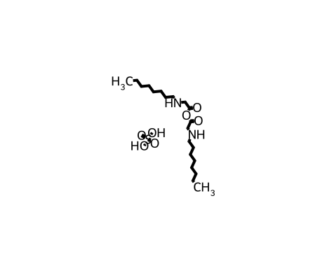 CCCCCCCCNCC(=O)OC(=O)CNCCCCCCCC.O=S(=O)(O)O